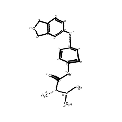 C[C@H](C(=O)Nc1ccc(Oc2ccc3c(c2)COC3)cc1)N(C(=O)O)C(C)(C)C